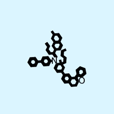 C=C/C=C\C(=C/N(C1=CC=C(c2ccc3c(c2)-c2c(oc4ccccc24)CC3)CC1(C)/C=C\C=C/C)c1ccc(-c2ccccc2)cc1)C1C=CC2=C(CC(C)C=C2)C1